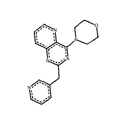 c1cncc(Cc2nc(N3CCOCC3)c3ncccc3n2)c1